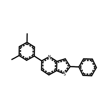 Cc1cc(C)cc(-c2ccc3sc(-c4ccccc4)cc3n2)c1